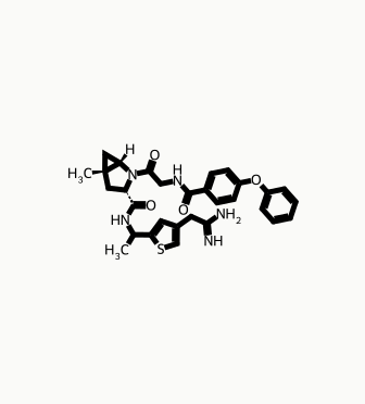 CC(NC(=O)[C@@H]1C[C@]2(C)C[C@@H]2N1C(=O)CNC(=O)c1ccc(Oc2ccccc2)cc1)c1cc(CC(=N)N)cs1